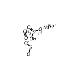 C=O.O=S(O)O.[Na+].[Na+].[O-]S[O-]